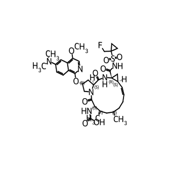 COc1cnc(O[C@@H]2C[C@H]3C(=O)N[C@]4(C(=O)NS(=O)(=O)C5(CF)CC5)C[C@H]4C=CCC[C@@H](C)C[C@@H](C)[C@H](NC(=O)O)C(=O)N3C2)c2ccc(N(C)C)cc12